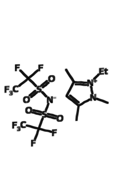 CC[n+]1c(C)cc(C)n1C.O=S(=O)([N-]S(=O)(=O)C(F)(F)C(F)(F)F)C(F)(F)C(F)(F)F